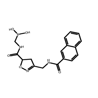 O=C(NCC1=NOC(C(=O)NCB(O)O)C1)c1ccc2ccccc2c1